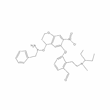 CCC(CC)N(C)CCc1c(C=O)cccc1Oc1cc2c(cc1[N+](=O)[O-])OCCC2OP(N)Cc1ccccc1